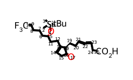 CC(C)(C)[Si](C)(C)OC(CCCCC(F)(F)F)CCC1=CCC(=O)[C@@H]1CCC=C=CCC(=O)O